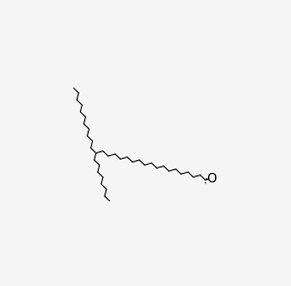 CCCCCCCCCCCC(CCCCCCCC)CCCCCCCCCCCCCCCCC[C]=O